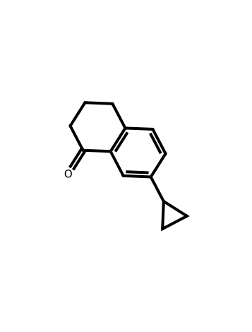 O=C1CCCc2ccc(C3CC3)cc21